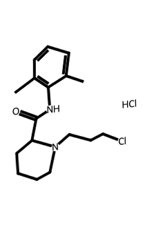 Cc1cccc(C)c1NC(=O)C1CCCCN1CCCCl.Cl